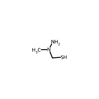 CN(N)CS